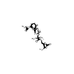 Cc1oc(=O)oc1COC(=O)C(C)(C)COS(=O)(=O)ON1C(=O)N2C[C@H]1CC[C@H]2C(N)=O